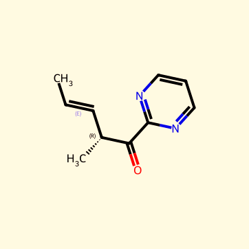 C/C=C/[C@@H](C)C(=O)c1ncccn1